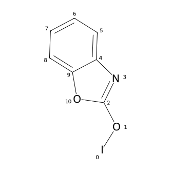 IOc1nc2ccccc2o1